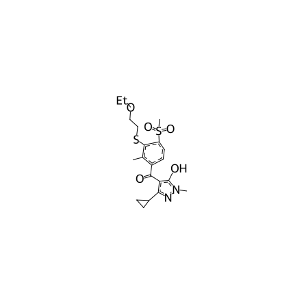 CCOCCSc1c(S(C)(=O)=O)ccc(C(=O)c2c(C3CC3)nn(C)c2O)c1C